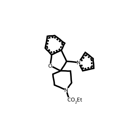 CCOC(=O)N1CCC2(CC1)Oc1ccccc1C2n1cccc1